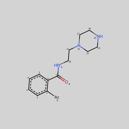 CC(=O)c1ccccc1C(=O)NCCN1CCNCC1